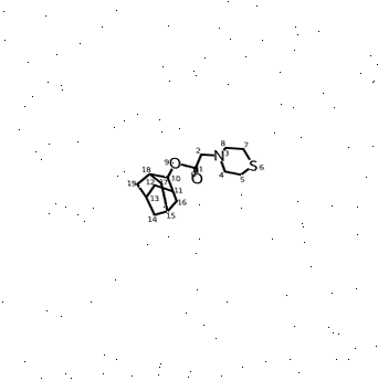 O=C(CN1CCSCC1)OC1C2CC3CC(C2)CC1C3